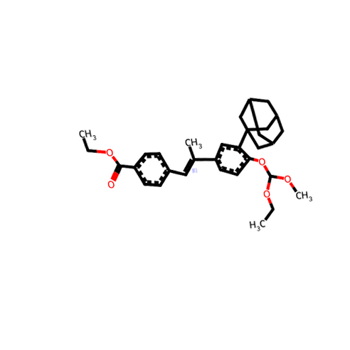 CCOC(=O)c1ccc(/C=C(\C)c2ccc(OC(OC)OCC)c(C34CC5CC(CC(C5)C3)C4)c2)cc1